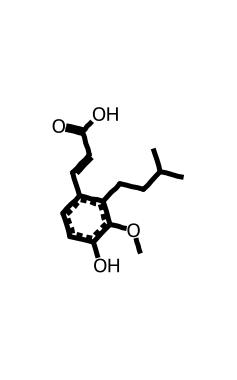 COc1c(O)ccc(C=CC(=O)O)c1CCC(C)C